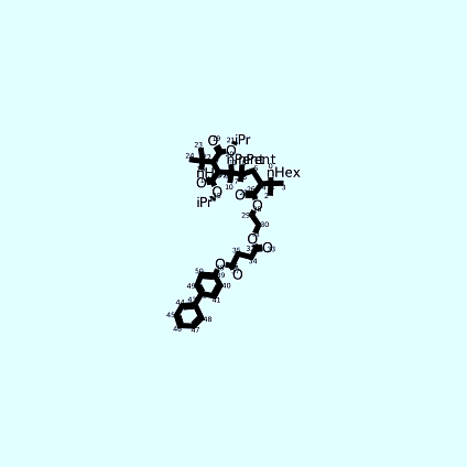 CCCCCCC(C)(C)C(CC(C)(CCCCC)C(C)(CCCCC)C(C(=O)OC(C)C)C(C(=O)OC(C)C)C(C)(C)CCCCCC)C(=O)OCCOC(=O)CCC(=O)Oc1ccc(-c2ccccc2)cc1